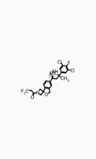 CC(C/C(=N\S)c1ccc2c(c1)COC21CN(C(=O)CC(F)(F)F)C1)(c1cc(Cl)c(F)c(Cl)c1)C(F)(F)F